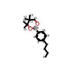 CCCCc1ccc(B2OCC(C)(C)C(C)(C)O2)cc1